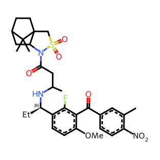 CC[C@@H](NC(C)CC(=O)N1C2CC3CCC2(CS1(=O)=O)C3(C)C)c1ccc(OC)c(C(=O)c2ccc([N+](=O)[O-])c(C)c2)c1F